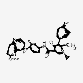 COc1ccc2nccc(Oc3ccc(NC(=O)c4cn(C5CC5)c(C)c(-c5ccc(F)cc5)c4=O)cc3F)c2n1